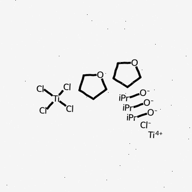 C1CCOC1.C1CCOC1.CC(C)[O-].CC(C)[O-].CC(C)[O-].[Cl-].[Cl][Ti]([Cl])([Cl])[Cl].[Ti+4]